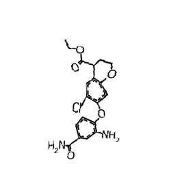 CCOC(=O)C1CCOc2cc(Oc3ccc(C(N)=O)cc3N)c(Cl)cc21